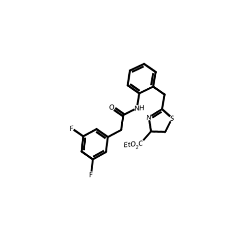 CCOC(=O)C1CSC(Cc2ccccc2NC(=O)Cc2cc(F)cc(F)c2)=N1